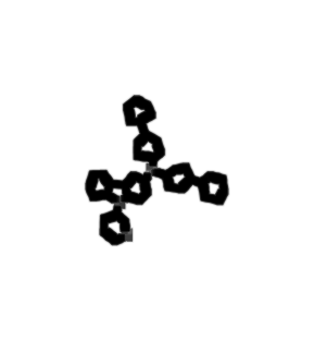 c1ccc(-c2ccc(N(c3ccc(-c4ccccc4)cc3)c3ccc4c(c3)c3ccccc3n4-c3cccnc3)cc2)cc1